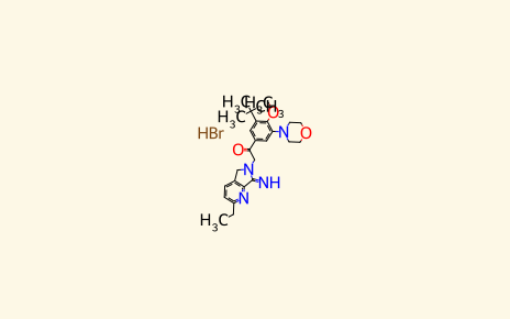 Br.CCc1ccc2c(n1)C(=N)N(CC(=O)c1cc(N3CCOCC3)c(OC)c(C(C)(C)C)c1)C2